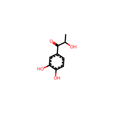 CC(O)C(=O)c1ccc(O)c(O)c1